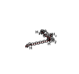 CC(C)[C@H](NC(=O)CCOCCOCCOCCOCCOCCOCCOCCOCCNC(=O)CCSSc1ccccn1)C(=O)N[C@@H](CCCNC(N)=O)C(=O)Nc1ccc(COC(=O)NCCNC(=O)OC(C)(C)C)cc1